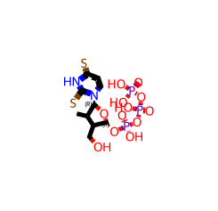 CC1C(CO)[C@@H](OP(=O)(O)OP(=O)(O)OP(=O)(O)O)O[C@H]1n1ccc(=S)[nH]c1=S